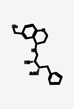 CC(=O)N[C@@H](Cc1ccccc1)[C@H](O)CNC1CCOc2ccc(CC(C)(C)C)cc21